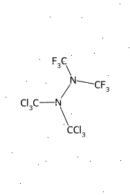 FC(F)(F)N(N(C(Cl)(Cl)Cl)C(Cl)(Cl)Cl)C(F)(F)F